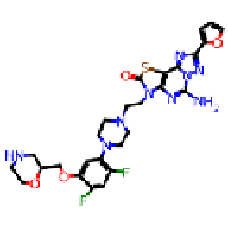 Nc1nc2c(sc(=O)n2CCN2CCN(c3cc(OCC4CNCCO4)c(F)cc3F)CC2)c2nc(-c3ccco3)nn12